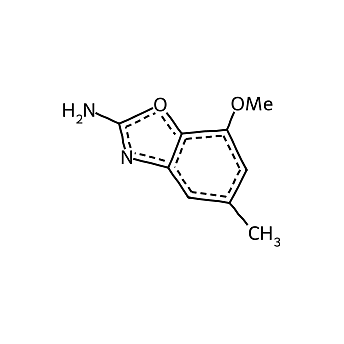 COc1cc(C)cc2nc(N)oc12